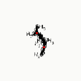 COCCOCCOCCn1nc(C)c(NC(=O)c2ccn3c2CCc2cnc(Nc4ccc(OCCOC)cc4OC)nc2-3)c1C